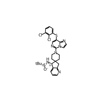 CC(C)(C)[S@@+]([O-])N[C@@H]1c2cccnc2CC12CCN(c1ncc(Sc3cccc(Cl)c3Cl)c3nccn13)CC2